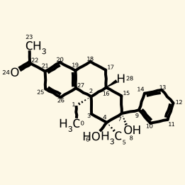 CC[C@@]12C[C@](C)(O)[C@](O)(c3ccccc3)C[C@H]1CCc1cc(C(C)=O)ccc12